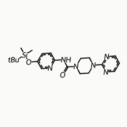 CC(C)(C)[Si](C)(C)Oc1ccc(NC(=O)N2CCN(c3ncccn3)CC2)nc1